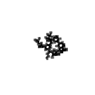 C=C/C=C(/c1cc(F)cc(NCCN(C)C)c1)c1cc(-c2n[nH]c3ncc(-c4cncc(NC(=C)C(C)(C)C)c4)cc23)[nH]c1C